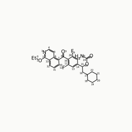 CCOc1nccc2c(C(=O)c3c(F)cc(C(CC4CCCCC4)OC(N)=O)cc3F)cccc12